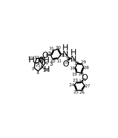 CN1[C@@H]2CC[C@H]1C[C@@H](Oc1ccc(NC(=O)Nc3ccc(Oc4ccccc4)cc3)cc1)C2